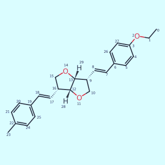 CCOc1ccc(C=C[C@@H]2CO[C@H]3[C@@H]2OC[C@H]3C=Cc2ccc(C)cc2)cc1